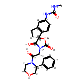 CNC(=O)Nc1ccc2c(c1)CC[C@@]21OC(=O)N(CC(=O)N2CCOC[C@@H]2c2ccccc2)C1=O